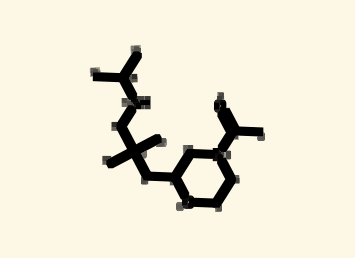 CC(=O)N1CCOC(CC(C)(C)CNC(C)C)C1